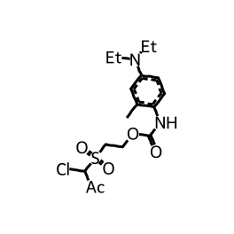 CCN(CC)c1ccc(NC(=O)OCCS(=O)(=O)C(Cl)C(C)=O)c(C)c1